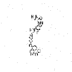 Cn1ccc2c(OC3CC4(C3)CN(CCNc3cc5c(cnn5CC(N)=O)cc3F)C4)ccc(Cl)c2c1=O